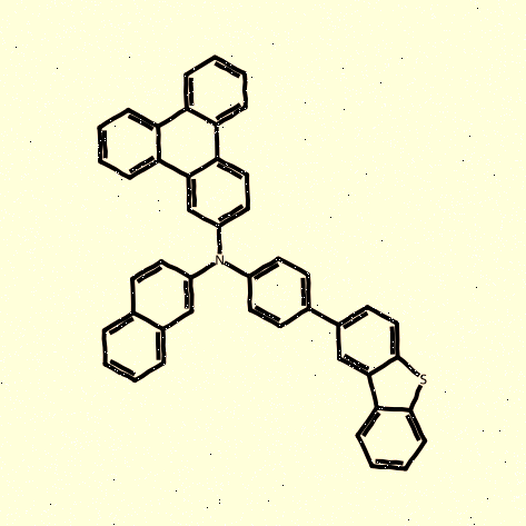 c1ccc2cc(N(c3ccc(-c4ccc5sc6ccccc6c5c4)cc3)c3ccc4c5ccccc5c5ccccc5c4c3)ccc2c1